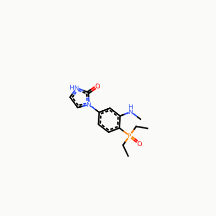 CCP(=O)(CC)c1ccc(-n2cc[nH]c2=O)cc1NC